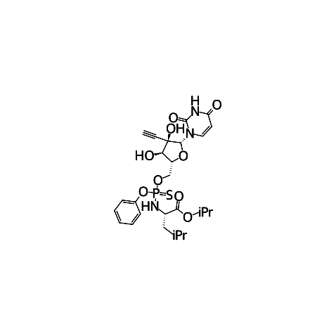 C#C[C@@]1(O)[C@H](O)[C@@H](COP(=S)(N[C@@H](CC(C)C)C(=O)OC(C)C)Oc2ccccc2)O[C@H]1n1ccc(=O)[nH]c1=O